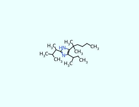 CCCCC(C)(C)c1[nH]c(C(C)C(C)C)nc1C(C)CC